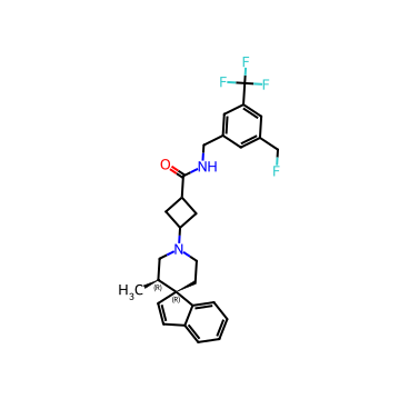 C[C@H]1CN(C2CC(C(=O)NCc3cc(CF)cc(C(F)(F)F)c3)C2)CC[C@@]12C=Cc1ccccc12